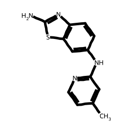 Cc1ccnc(Nc2ccc3nc(N)sc3c2)c1